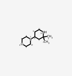 CC1(C)CC(N2CCOCC2)CCN1